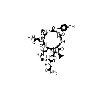 CC[C@@H](C)[C@@H](NC(=O)CN(C(=O)[C@@H]1CNCC(=O)N[C@@H](Cc2ccc(O)cc2)C(=O)N[C@@H]([C@@H](C)CC)C(=O)N[C@@H](CCC(N)=O)C(=O)N[C@@H](CC(N)=O)C(=O)N1)C1CC1)C(=O)NCC(N)=O